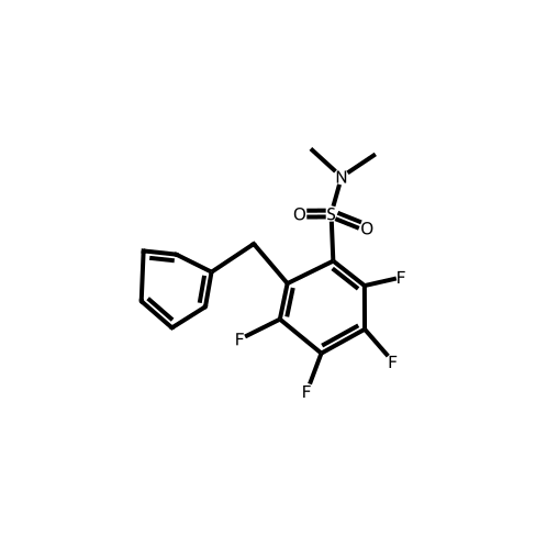 CN(C)S(=O)(=O)c1c(F)c(F)c(F)c(F)c1Cc1ccccc1